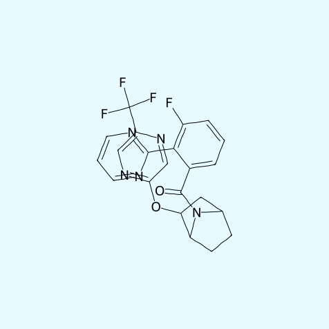 O=C(c1cccc(F)c1-c1ncccn1)N1C2CCC1C(Oc1cnc(C(F)(F)F)cn1)C2